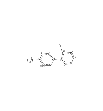 Nc1ccc(-c2ccc[c]c2F)cn1